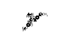 Cn1cc(-c2ccc(C3(C(=O)N4C[C@H](S(=O)(=O)c5ccc(OCC(F)(F)F)cc5Cl)C[C@H]4C(=O)NC4(C#N)CC4)CC3)cc2)cn1